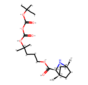 CC(C)(C)OC(=O)OC(=O)OC(C)(C)CCCOC(=O)[C@H]1N[C@@H]2CC[C@H]1C2